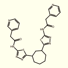 O=C(Cc1cccnc1)Nc1nnc(C2CCCCC(c3nnc(NC(=O)Cc4cccnc4)s3)C2)s1